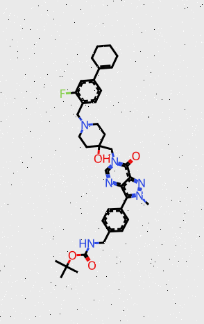 Cn1nc2c(=O)n(CC3(O)CCN(Cc4ccc(C5=CCCCC5)cc4F)CC3)cnc2c1-c1ccc(CNC(=O)OC(C)(C)C)cc1